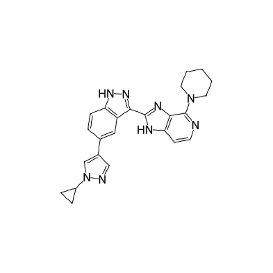 c1cc2[nH]c(-c3n[nH]c4ccc(-c5cnn(C6CC6)c5)cc34)nc2c(N2CCCCC2)n1